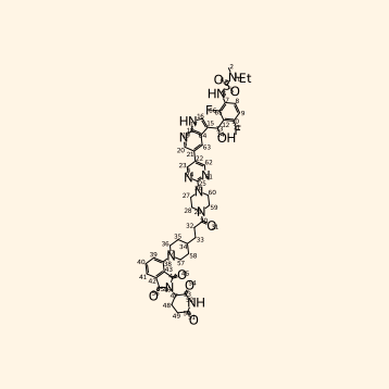 CCN(C)S(=O)(=O)Nc1ccc(F)c(C(O)c2c[nH]c3ncc(-c4cnc(N5CCN(C(=O)CCC6CCN(c7cccc8c7C(=O)N(C7CCC(=O)NC7=O)C8=O)CC6)CC5)nc4)cc23)c1F